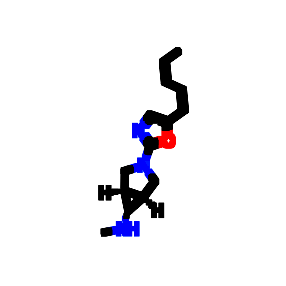 C/C=C\C=C/c1cnc(N2C[C@@H]3[C@H](C2)[C@H]3NC)o1